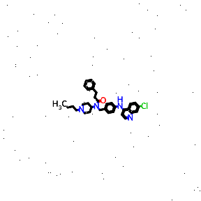 CCCCN1CCC(N(Cc2ccc(Nc3ccnc4cc(Cl)ccc34)cc2)C(=O)CCc2ccccc2)CC1